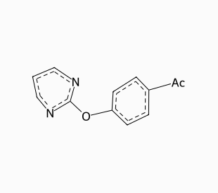 CC(=O)c1ccc(Oc2ncccn2)cc1